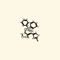 CC(=Cc1csc(C)n1)[C@H](CC=O)O[Si](c1ccccc1)(c1ccccc1)C(C)(C)C